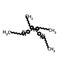 CCCCCCCCCc1cnc([C@H]2CC[C@H](Cc3cc(CCCCCCCC)ccc3Oc3ccc(CCCCCCCC)cc3C[C@H]3CC[C@H](c4ncc(CCCCCCCCC)cn4)CC3)CC2)nc1